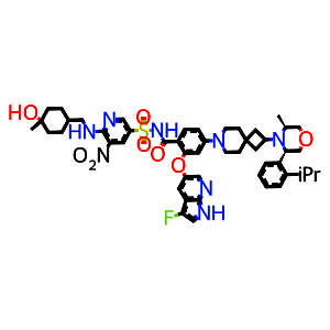 CC(C)c1ccccc1[C@@H]1COC[C@H](C)N1C1CC2(CCN(c3ccc(C(=O)NS(=O)(=O)c4cnc(NCC5CCC(C)(O)CC5)c([N+](=O)[O-])c4)c(Oc4cnc5[nH]cc(F)c5c4)c3)CC2)C1